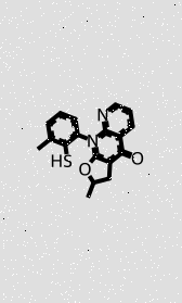 Cc1cccc(-n2c3c(c(=O)c4cccnc42)CC(C)O3)c1S